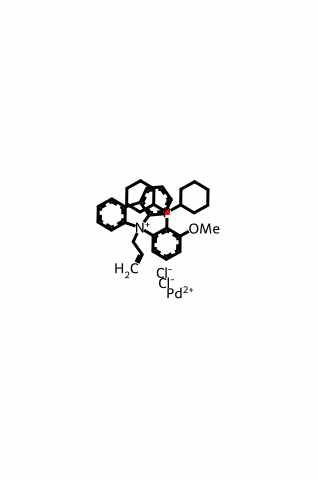 C=CC[N+]1(c2cccc(OC)c2P(C2CCCCC2)C2CCCCC2)c2ccccc2-c2ccccc21.[Cl-].[Cl-].[Pd+2]